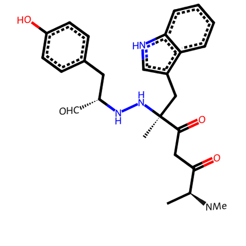 CN[C@@H](C)C(=O)CC(=O)[C@](C)(Cc1c[nH]c2ccccc12)NN[C@H](C=O)Cc1ccc(O)cc1